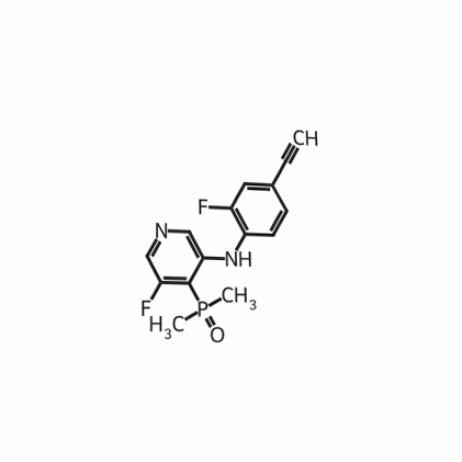 C#Cc1ccc(Nc2cncc(F)c2P(C)(C)=O)c(F)c1